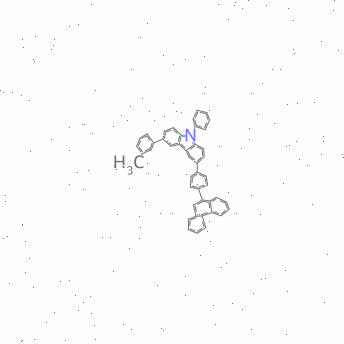 Cc1cccc(-c2ccc3c(c2)c2cc(-c4ccc(-c5cc6ccccc6c6ccccc56)cc4)ccc2n3-c2ccccc2)c1